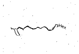 CCCCCCCCCCCCCCOI